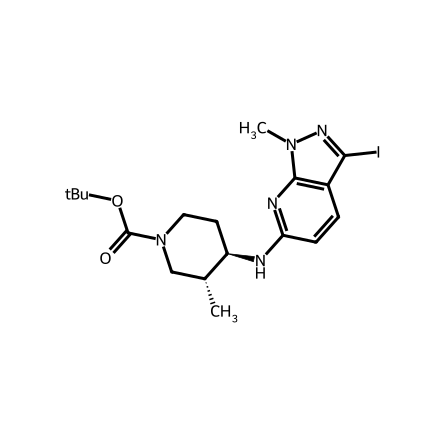 C[C@@H]1CN(C(=O)OC(C)(C)C)CC[C@H]1Nc1ccc2c(I)nn(C)c2n1